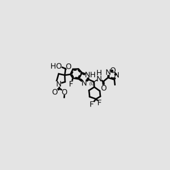 COC(=O)N1CCC(C(=O)O)(c2ccc3[nH]c([C@@H](NC(=O)c4nonc4C)C4CCC(F)(F)CC4)nc3c2F)C1